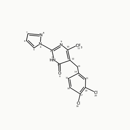 O=c1[nH]c(-n2cccn2)nc(C(F)(F)F)c1Cc1ccc(Cl)c(Cl)c1